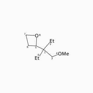 CCC(CC)(COC)C1CCO1